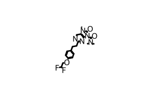 CN(C)C(=O)n1c(=O)n(C)c2cnc(CCc3ccc(OCC(F)F)cc3)nc21